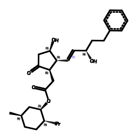 CC(C)[C@@H]1CC[C@@H](C)C[C@H]1OC(=O)C[C@H]1C(=O)C[C@@H](O)[C@@H]1/C=C/[C@@H](O)CCc1ccccc1